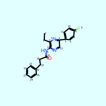 CCc1nc(-c2ccc(F)cc2)cnc1NC(=O)CCc1ccccc1